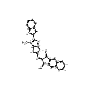 Cn1c(-c2cc3ccccc3s2)nc2oc(C=C3C(=O)c4cc5ccccc5cc4C3=O)nc21